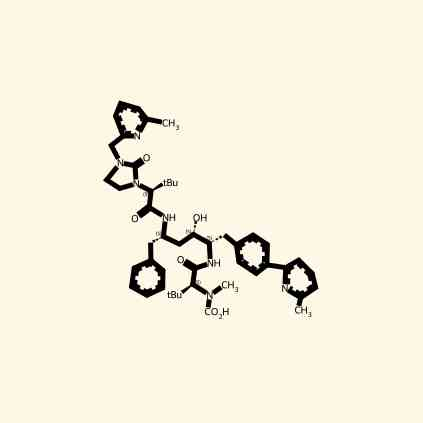 Cc1cccc(CN2CCN([C@H](C(=O)N[C@@H](Cc3ccccc3)C[C@H](O)[C@H](Cc3ccc(-c4cccc(C)n4)cc3)NC(=O)[C@@H](N(C)C(=O)O)C(C)(C)C)C(C)(C)C)C2=O)n1